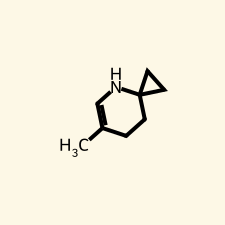 CC1=CNC2(CC1)CC2